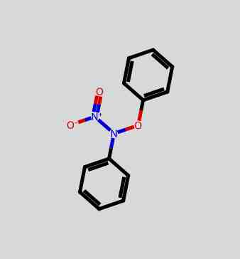 O=[N+]([O-])N(Oc1ccccc1)c1ccccc1